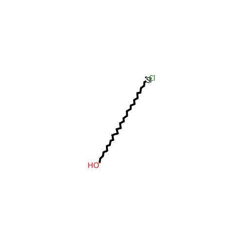 C[Si](C)(Cl)CCCCCCCCCCCCCCCCCCCCCCCCCCCCO